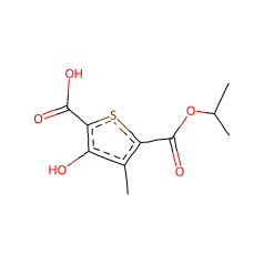 Cc1c(C(=O)OC(C)C)sc(C(=O)O)c1O